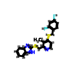 Cc1c(SCc2ccc(F)cc2F)ccnc1CSc1nc2ccccc2[nH]1